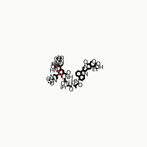 CC[C@@]1(O)C(=O)OCc2c1cc1n(c2=O)Cc2c-1nc1ccc(NC(=O)C(C)=NC(=O)C(=NC(=O)[C@H](CCCCNC(=O)OC(C)(C)C)NC(=O)c3cc(-c4cnc(S(C)(=O)=O)nc4)cc(-c4cnc(S(C)(=O)=O)nc4)c3)C(C)C)c3c1c2CCC3